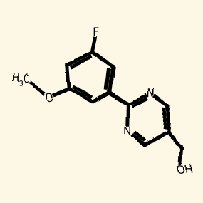 COc1cc(F)cc(-c2ncc(CO)cn2)c1